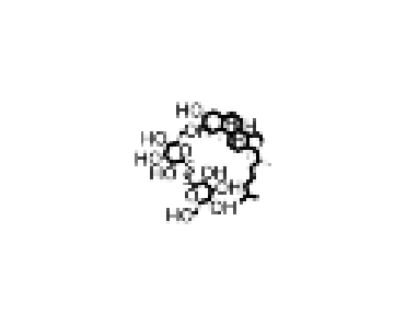 CC(C)CCC[C@@H](C)[C@H]1CC[C@H]2[C@@H]3CC=C4C[C@@H](O)CC[C@]4(C)[C@H]3CC[C@]12C.OC[C@H]1O[C@@H](SS[C@@H]2O[C@H](CO)[C@@H](O)[C@H](O)[C@H]2O)[C@H](O)[C@@H](O)[C@@H]1O